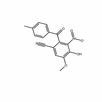 COc1cc(C#N)c(C(=O)c2ccc(C)cc2)c([N+](=O)[O-])c1O